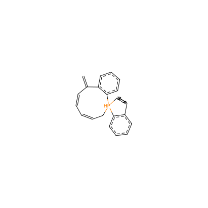 C=C1/C=C\C=C/C[PH]2(c3ccccc31)c1ccccc1-c1ccccc12